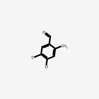 Cc1cc(Cl)c(Cl)cc1C=O